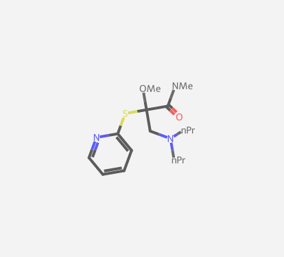 CCCN(CCC)CC(OC)(Sc1ccccn1)C(=O)NC